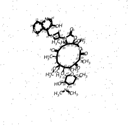 CO[C@]1(C)C[C@@H](C)C(=O)[C@H](C)[C@@H]2N(C3CN(Cc4c(O)cnc5ccncc45)C3)C(=O)O[C@]2(C)[C@@H](I)OC(=O)[C@H](C)C(=O)[C@H](C)[C@H]1O[C@@H]1O[C@H](C)C[C@H](N(C)C)[C@H]1O